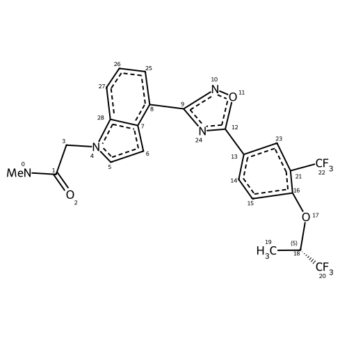 CNC(=O)Cn1ccc2c(-c3noc(-c4ccc(O[C@@H](C)C(F)(F)F)c(C(F)(F)F)c4)n3)cccc21